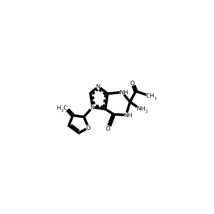 C=C1C=COC1n1cnc2c1C(=O)NC(N)(C(C)=O)N2